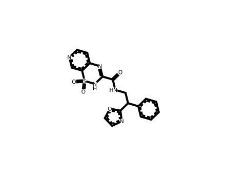 O=C(NCC(c1ccccc1)c1ncco1)C1=Nc2ccncc2S(=O)(=O)N1